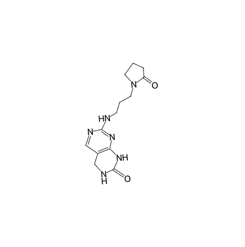 O=C1NCc2cnc(NCCCN3CCCC3=O)nc2N1